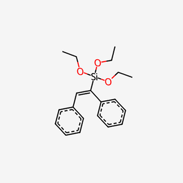 CCO[Si](OCC)(OCC)/C(=C/c1ccccc1)c1ccccc1